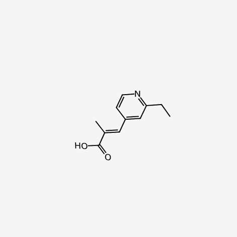 CCc1cc(/C=C(\C)C(=O)O)ccn1